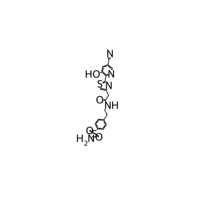 N#Cc1cnc(-c2nc(CC(=O)NCCc3ccc(S(N)(=O)=O)cc3)cs2)c(O)c1